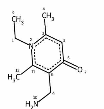 CCn1c(C)cc(=O)c(CN)c1C